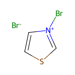 Br[n+]1ccsc1.[Br-]